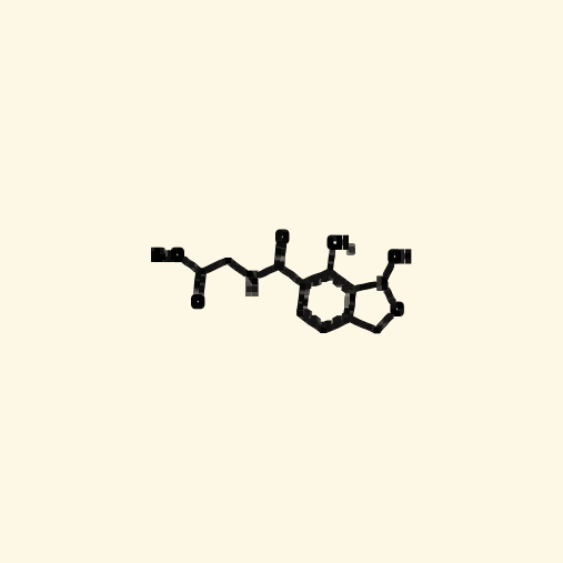 Cc1c(C(=O)NCC(=O)OCC(C)C)ccc2c1B(O)OC2